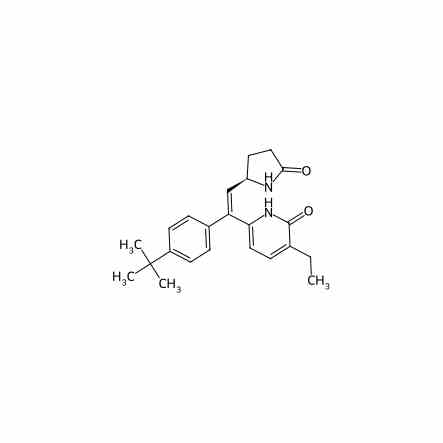 CCc1ccc(/C(=C\[C@H]2CCC(=O)N2)c2ccc(C(C)(C)C)cc2)[nH]c1=O